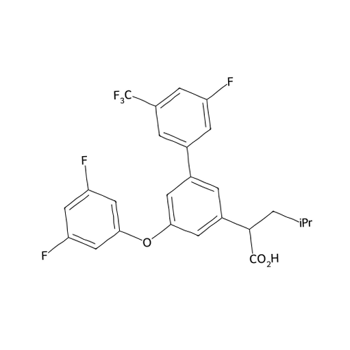 CC(C)CC(C(=O)O)c1cc(Oc2cc(F)cc(F)c2)cc(-c2cc(F)cc(C(F)(F)F)c2)c1